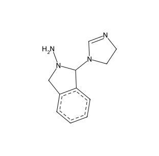 NN1Cc2ccccc2C1N1C=NCC1